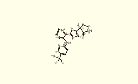 C[C@@]1(c2nnc(-c3nccnc3Nc3ccc(C(F)(F)F)cc3)o2)CCNC1=O